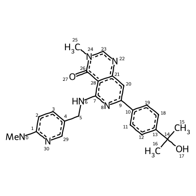 CNc1ccc(CNc2nc(-c3ccc(C(C)(C)O)cc3)cc3ncn(C)c(=O)c23)cn1